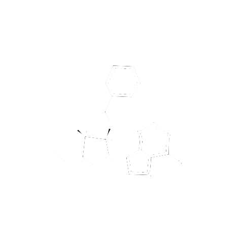 CC[C@H]1O[C@@H](c2cnc3c(N)ncnn23)[C@H](OCc2ccccc2)[C@@H]1C